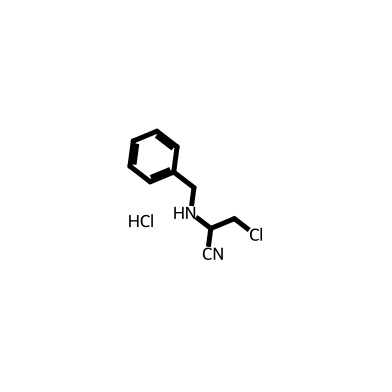 Cl.N#CC(CCl)NCc1ccccc1